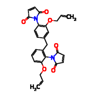 C=CCOc1cc(Cc2cccc(OCC=C)c2N2C(=O)C=CC2=O)ccc1N1C(=O)C=CC1=O